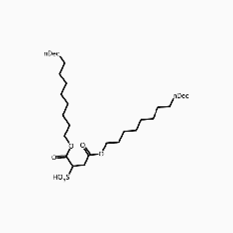 CCCCCCCCCCCCCCCCCCOC(=O)CC(C(=O)OCCCCCCCCCCCCCCCCCC)S(=O)(=O)O